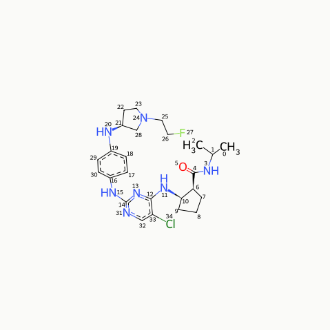 CC(C)NC(=O)[C@H]1CCC[C@H]1Nc1nc(Nc2ccc(N[C@H]3CCN(CCF)C3)cc2)ncc1Cl